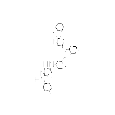 CCCc1ccc(Nc2ncc(Nc3cc(C)nc(CCc4cnccc4Nc4cnc(Nc5ccc(CC(C)C)cc5)nc4)c3)cn2)cc1